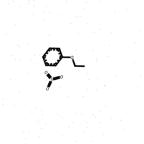 CCOc1ccccc1.O=S(=O)=O